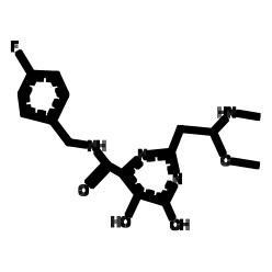 CNC(Cc1nc(O)c(O)c(C(=O)NCc2ccc(F)cc2)n1)OC